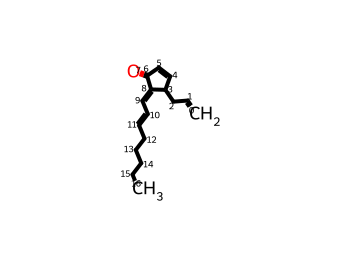 C=CCC1C=CC(=O)/C1=C/C=C/CCCCC